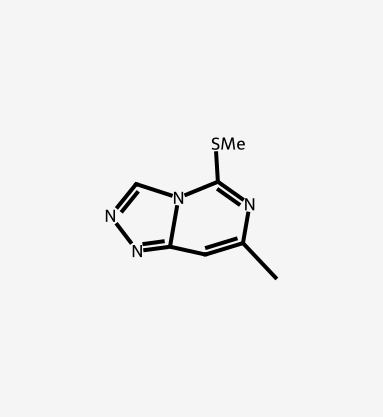 CSc1nc(C)cc2nncn12